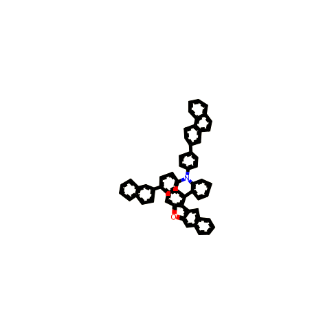 c1ccc(N(c2ccc(-c3ccc4ccccc4c3)cc2)c2ccc(-c3ccc4c(ccc5ccccc54)c3)cc2)c(-c2cccc3oc4cc5ccccc5cc4c23)c1